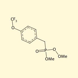 COOP(=O)(Cc1ccc(OC(F)(F)F)cc1)OC